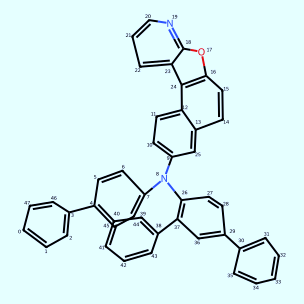 c1ccc(-c2ccc(N(c3ccc4c(ccc5oc6ncccc6c54)c3)c3ccc(-c4ccccc4)cc3-c3ccccc3)cc2)cc1